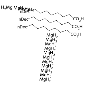 CCCCCCCCCCCCCCCCCC(=O)O.CCCCCCCCCCCCCCCCCC(=O)O.CCCCCCCCCCCCCCCCCC(=O)O.[MgH2].[MgH2].[MgH2].[MgH2].[MgH2].[MgH2].[MgH2].[MgH2].[MgH2].[MgH2].[MgH2].[MgH2].[MgH2].[MgH2].[MgH2]